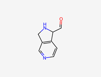 O=CC1NCc2cnccc21